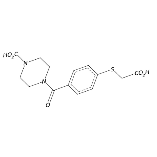 O=C(O)CSc1ccc(C(=O)N2CCN(C(=O)O)CC2)cc1